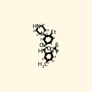 CCc1ccc(S(=O)(=O)Nc2cc(C)ccc2OC(F)F)cc1N1CCNCC1